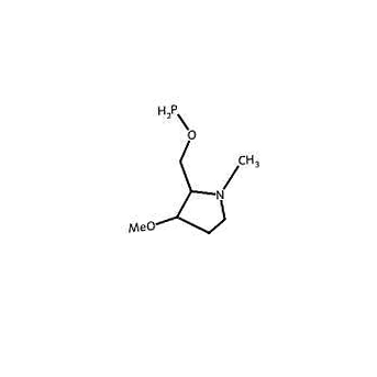 COC1CCN(C)C1COP